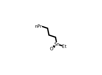 CCCCC[CH2][Sn](=[O])[CH2]C